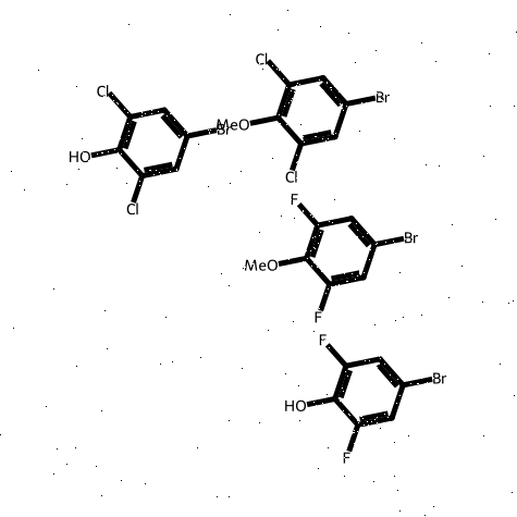 COc1c(Cl)cc(Br)cc1Cl.COc1c(F)cc(Br)cc1F.Oc1c(Cl)cc(Br)cc1Cl.Oc1c(F)cc(Br)cc1F